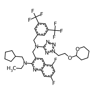 CCN(CC1CCCC1)c1nc2cc(F)cc(F)c2cc1CN(Cc1cc(C(F)(F)F)cc(C(F)(F)F)c1)c1nnn(CCOC2CCCCO2)n1